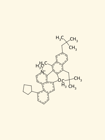 Cc1c2c(c(CC(C)(C)C)c3ccc(CC(C)(C)C)cc13)Oc1cc3cccc(C4CCCC4)c3c3cc[n+](C)c-2c13